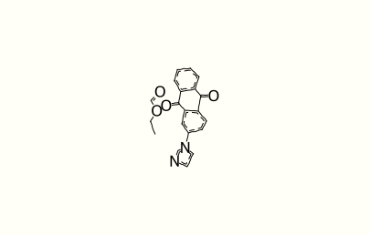 CCOC=O.O=C1c2ccccc2C(=O)c2cc(-n3ccnc3)ccc21